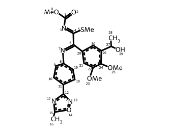 COC(=O)/N=C(SC)/C(=N/c1ccc(-c2noc(C)n2)cc1)c1cc(OC)c(OC)c(C(C)O)c1